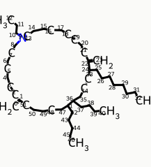 C=C1CCCCCCCN(CCC)CCCCCCCCCC(=C)C(CCCCCCCC)CCCC(CCCC)C(CCCCC)CCCCC1